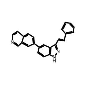 C(=C\c1n[nH]c2ccc(-c3ccc4ccncc4c3)cc12)/c1ccccc1